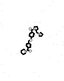 O=C(c1ccc(COc2ccc(C(=O)N3CCCC3CN3CCCC3)cc2)cc1)N1CCCCC1